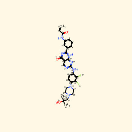 C=CC(=O)Nc1cccc(-c2nc(=O)c3cnc(Nc4ccc(N5CCN(CC(C)(C)O)CC5)c(F)c4F)nc3[nH]2)c1